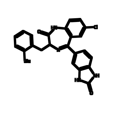 CC(C)(C)c1ccccc1CC1N=C(c2ccc3[nH]c(=O)[nH]c3c2)c2cc(Cl)ccc2NC1=O